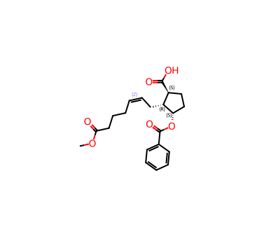 COC(=O)CCC/C=C\C[C@H]1[C@@H](OC(=O)c2ccccc2)CC[C@@H]1C(=O)O